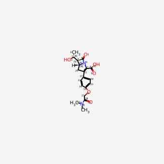 C[C@@H](O)[C@H]1C(=O)N2C(C(=O)O)=C(c3ccc(OCC(=O)N(C)C)cc3)C[C@H]12